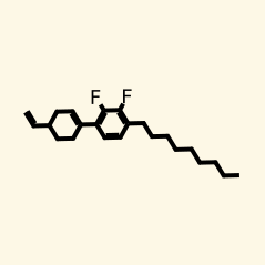 C=CC1CC=C(c2ccc(CCCCCCCCC)c(F)c2F)CC1